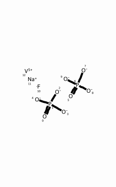 O=P([O-])([O-])[O-].O=P([O-])([O-])[O-].[F].[Na+].[V+5]